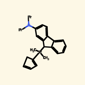 CC(C)N(c1ccc2c(c1)[CH]([Zr]([CH3])([CH3])[C]1=CC=CC1)c1ccccc1-2)C(C)C